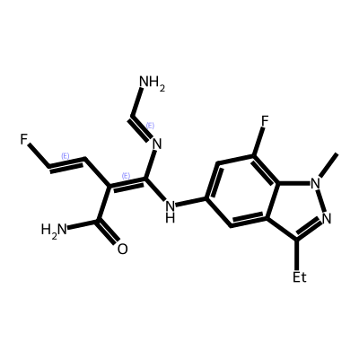 CCc1nn(C)c2c(F)cc(NC(/N=C/N)=C(/C=C/F)C(N)=O)cc12